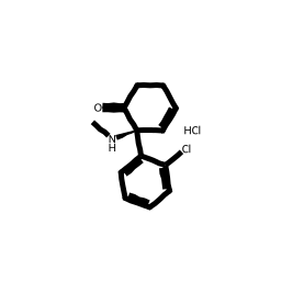 CN[C@]1(c2ccccc2Cl)C=CCCC1=O.Cl